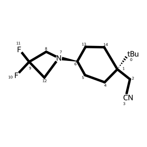 CC(C)(C)[C@]1(CC#N)CC[C@@H](N2CC(F)(F)C2)CC1